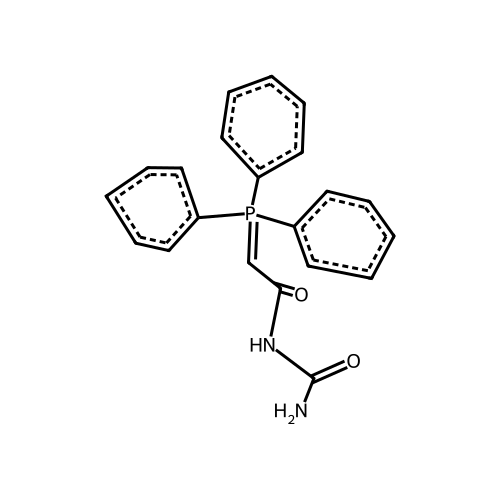 NC(=O)NC(=O)C=P(c1ccccc1)(c1ccccc1)c1ccccc1